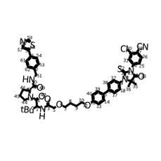 CC(C)(C)C(NC(=O)COCCCCOc1ccc(-c2ccc(N3C(=S)N(c4ccc(C#N)c(Cl)c4)C(=O)C3(C)C)cc2)cc1)C(=O)N1CCC[C@H]1C(=O)NCc1ccc(-c2cncs2)cc1